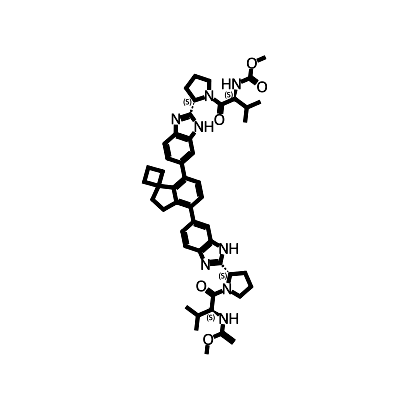 C=C(N[C@H](C(=O)N1CCC[C@H]1c1nc2ccc(-c3ccc(-c4ccc5nc([C@@H]6CCCN6C(=O)[C@@H](NC(=O)OC)C(C)C)[nH]c5c4)c4c3CCC43CCC3)cc2[nH]1)C(C)C)OC